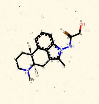 CCCN1CCC[C@@H]2c3cccc4c3c(c(C)n4NC(=S)CO)C[C@H]21